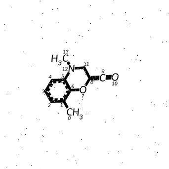 Cc1cccc2c1OC(=C=O)CN2C